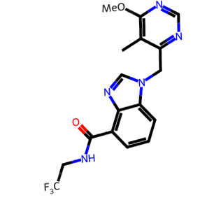 COc1ncnc(Cn2cnc3c(C(=O)NCC(F)(F)F)cccc32)c1C